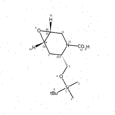 CC(C)(C)[Si](C)(C)OC[C@@H]1C[C@@H]2O[C@@H]2CN1C(=O)O